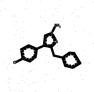 Nn1cc(-c2ccc(Cl)cc2)c(Cc2ccccc2)n1